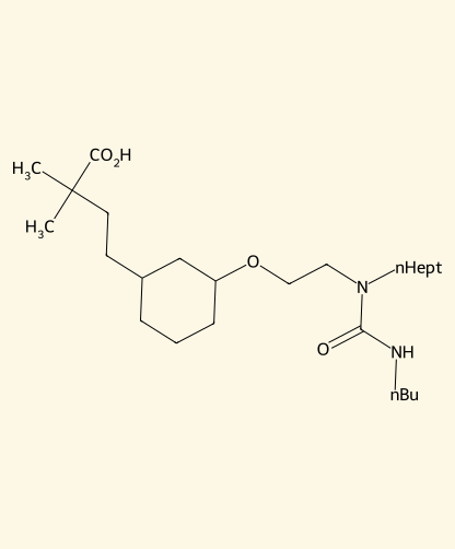 CCCCCCCN(CCOC1CCCC(CCC(C)(C)C(=O)O)C1)C(=O)NCCCC